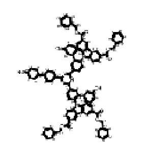 [C-]#[N+]c1cccc(-c2cc(-c3nc(-c4ccc(-c5ccc(C#N)cc5)cc4)nc(-c4ccc(-n5c6ccc(C(=O)OCc7ccccc7)cc6c6cc(C(=O)OCc7ccccc7)ccc65)c(-c5cccc(C#N)c5)c4)n3)ccc2-n2c3ccc(C(=O)OCc4ccccc4)cc3c3cc(C(=O)OCc4ccccc4)ccc32)c1